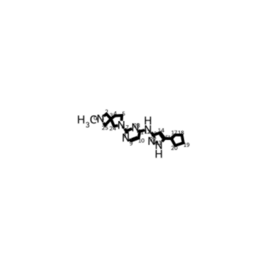 CN1CC2(CCN(c3nccc(Nc4cc(C5CCCC5)[nH]n4)n3)C2)C1